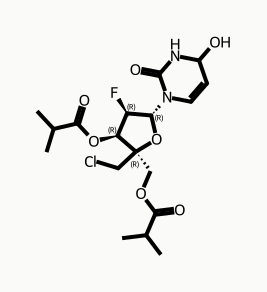 CC(C)C(=O)OC[C@@]1(CCl)O[C@@H](N2C=CC(O)NC2=O)[C@H](F)[C@@H]1OC(=O)C(C)C